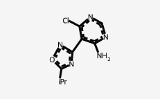 CC(C)c1nc(-c2c(N)ncnc2Cl)no1